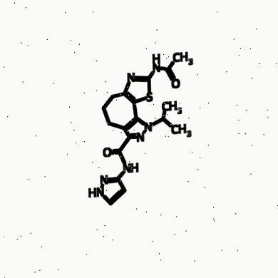 CC(=O)Nc1nc2c(s1)-c1c(c(C(=O)Nc3cc[nH]n3)nn1C(C)C)CCC2